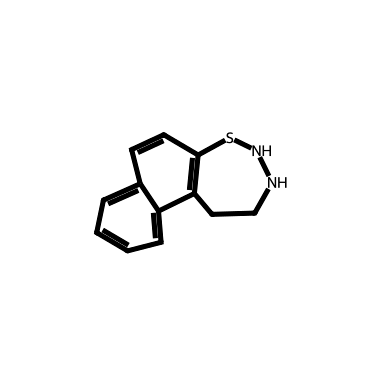 c1ccc2c3c(ccc2c1)SNNCC3